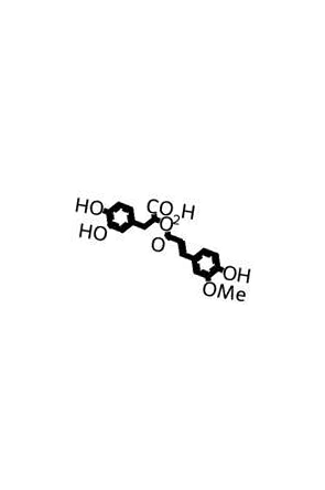 COc1cc(/C=C/C(=O)OC(Cc2ccc(O)c(O)c2)C(=O)O)ccc1O